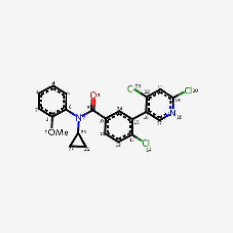 COc1ccccc1N(C(=O)c1ccc(Cl)c(-c2cnc(Cl)cc2Cl)c1)C1CC1